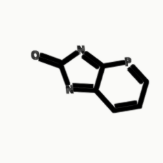 O=C1N=c2cccpc2=N1